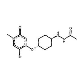 CC(=O)NN[C@H]1CC[C@H](Oc2cc(=O)n(C)cc2Br)CC1